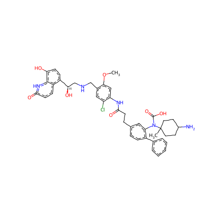 COc1cc(NC(=O)CCc2ccc(-c3ccccc3)c(N(C(=O)O)C3(C)CCC(N)CC3)c2)c(Cl)cc1CNC[C@@H](O)c1ccc(O)c2[nH]c(=O)ccc12